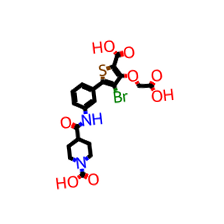 O=C(O)COc1c(C(=O)O)sc(-c2cccc(NC(=O)C3CCN(C(=O)O)CC3)c2)c1Br